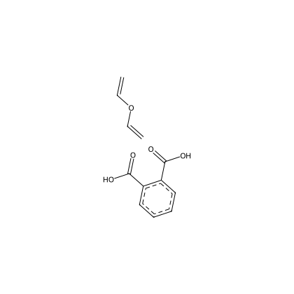 C=COC=C.O=C(O)c1ccccc1C(=O)O